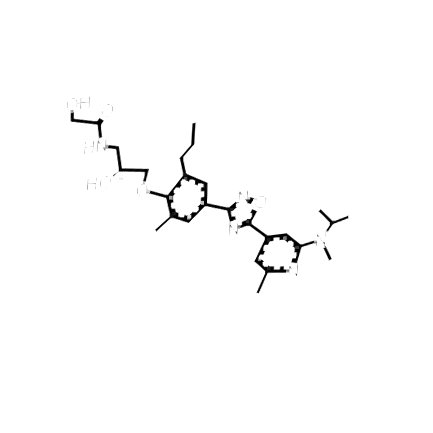 CCCc1cc(-c2noc(-c3cc(C)nc(N(C)C(C)C)c3)n2)cc(C)c1OC[C@@H](O)CNC(=O)CO